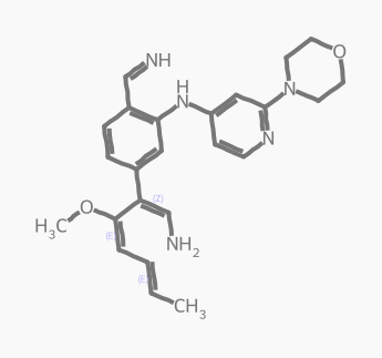 C/C=C/C=C(OC)\C(=C/N)c1ccc(C=N)c(Nc2ccnc(N3CCOCC3)c2)c1